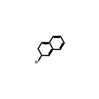 BrC1C=c2ccccc2=CC1